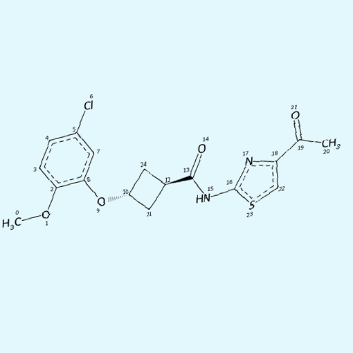 COc1ccc(Cl)cc1O[C@H]1C[C@H](C(=O)Nc2nc(C(C)=O)cs2)C1